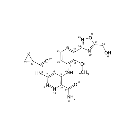 COc1c(Nc2cc(NC(=O)C3CC3)nnc2C(N)=O)cccc1-c1noc(CO)n1